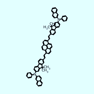 CC1(C)c2cc(/C=C/c3ccc4ccc5c(/C=C/c6ccc7c(c6)C(C)(C)c6cc(N(c8ccccc8)c8ccc9ccccc9c8)ccc6-7)ccc6ccc3c4c65)ccc2-c2ccc(N(c3ccccc3)c3ccc4ccccc4c3)cc21